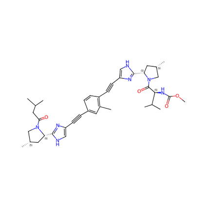 COC(=O)N[C@H](C(=O)N1C[C@@H](C)C[C@H]1c1nc(C#Cc2ccc(C#Cc3c[nH]c([C@@H]4C[C@H](C)CN4C(=O)CC(C)C)n3)cc2C)c[nH]1)C(C)C